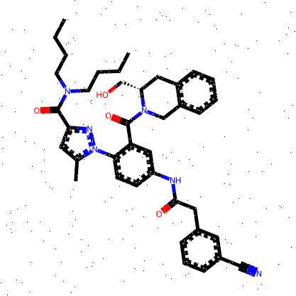 CCCCN(CCCC)C(=O)c1cc(C)n(-c2ccc(NC(=O)Cc3cccc(C#N)c3)cc2C(=O)N2Cc3ccccc3C[C@H]2CO)n1